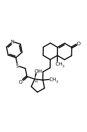 CC12CCC(=O)C=C1CCCC2CCC1(C)CCC[C@]1(O)C(=O)CSc1ccncc1